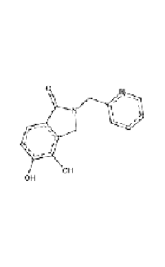 O=C1c2ccc(O)c(O)c2CN1Cc1ccccn1